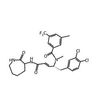 Cc1cc(C(=O)N(C)[C@@H](/C=C/C(=O)NC2CCCCNC2=O)Cc2ccc(Cl)c(Cl)c2)cc(C(F)(F)F)c1